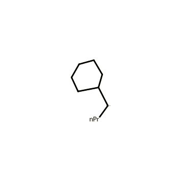 CCC[CH]C1CCCCC1